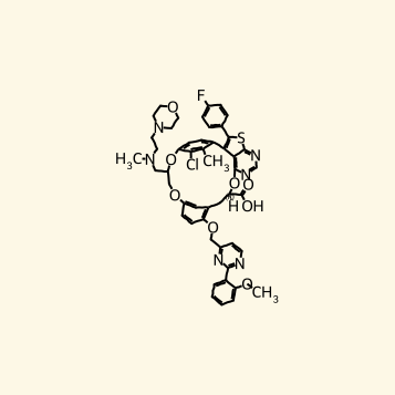 COc1ccccc1-c1nccc(COc2ccc3cc2C[C@H](C(=O)O)Oc2ncnc4sc(-c5ccc(F)cc5)c(c24)-c2ccc(c(Cl)c2C)OC(CN(C)CCN2CCOCC2)CO3)n1